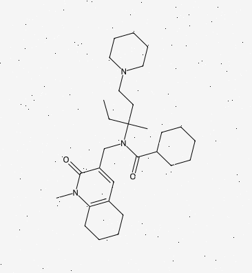 CCC(C)(CCN1CCCCC1)N(Cc1cc2c(n(C)c1=O)CCCC2)C(=O)C1CCCCC1